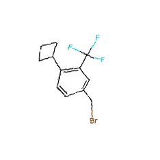 FC(F)(F)c1cc(CBr)ccc1C1CCC1